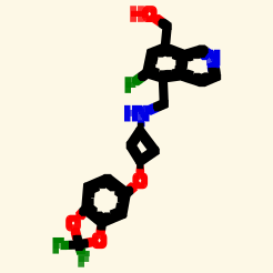 OCc1cc(F)c(CN[C@H]2C[C@H](Oc3ccc4c(c3)OC(F)(F)O4)C2)c2ccncc12